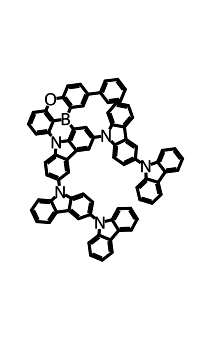 c1ccc(-c2ccc3c(c2)B2c4c(cccc4-n4c5ccc(-n6c7ccccc7c7cc(-n8c9ccccc9c9ccccc98)ccc76)cc5c5cc(-n6c7ccccc7c7cc(-n8c9ccccc9c9ccccc98)ccc76)cc2c54)O3)cc1